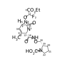 CCOC(=O)C(F)ON1C(=O)N2C[C@H]1C=C(C)[C@H]2C(=O)NOC[C@@H]1CCCN1C(=O)O